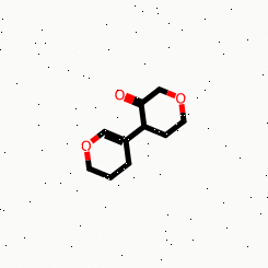 O=C1COCCC1C1=COCCC1